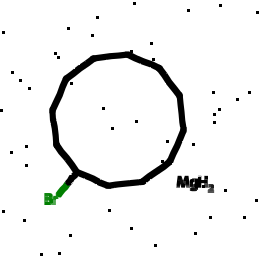 BrC1CCCCCCCCCCC1.[MgH2]